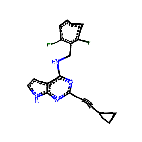 Fc1cccc(F)c1CNc1nc(C#CC2CC2)nc2[nH]ccc12